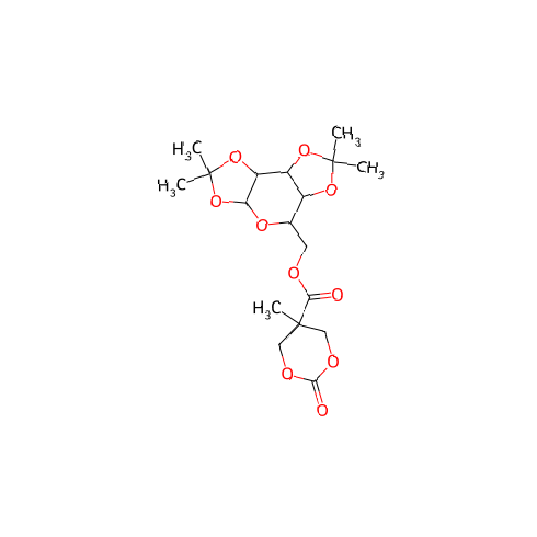 CC1(C)OC2OC(COC(=O)C3(C)COC(=O)OC3)C3OC(C)(C)OC3C2O1